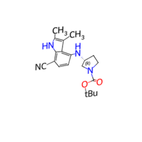 Cc1[nH]c2c(C#N)ccc(N[C@@H]3CCN(C(=O)OC(C)(C)C)C3)c2c1C